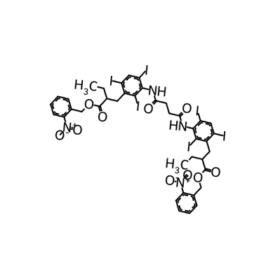 CCC(Cc1c(I)cc(I)c(NC(=O)CCC(=O)Nc2c(I)cc(I)c(CC(CC)C(=O)OCc3ccccc3[N+](=O)[O-])c2I)c1I)C(=O)OCc1ccccc1[N+](=O)[O-]